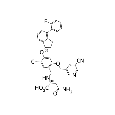 N#Cc1cncc(COc2cc(O[C@H]3CCc4c(-c5ccccc5F)cccc43)c(Cl)cc2CN[C@H](CC(N)=O)C(=O)O)c1